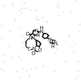 CN1CC2[C@@H]1CN2c1ccc(Nc2ncc3c(=O)n4n(c3n2)-c2ccc3c(c2)N(CCC/C=C\C4)C(=O)CO3)cc1